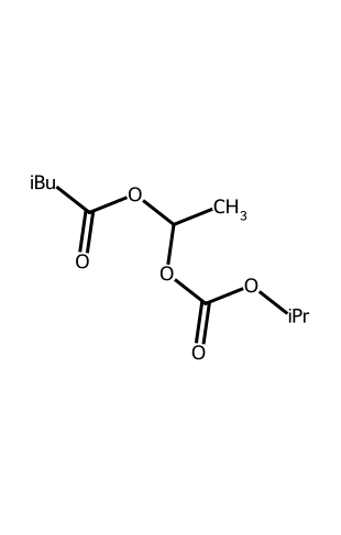 CCC(C)C(=O)OC(C)OC(=O)OC(C)C